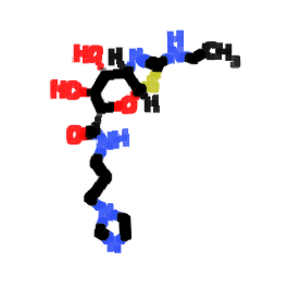 CCNC1=N[C@@H]2[C@@H](O)[C@H](O)[C@@H](C(=O)NCCCn3ccnc3)O[C@@H]2S1